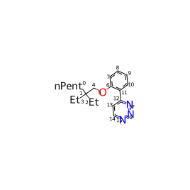 CCCCCC(CC)(CC)COc1ccccc1-c1ccnnn1